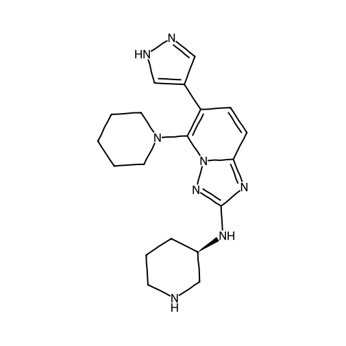 c1n[nH]cc1-c1ccc2nc(N[C@@H]3CCCNC3)nn2c1N1CCCCC1